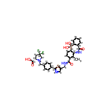 Cc1c(C(=O)NCc2cnc(-c3ccc(CN4CC(F)(F)C[C@H]4C(=O)O)cc3)s2)ccc2c1NC(=O)c1ccccc1S2(O)O